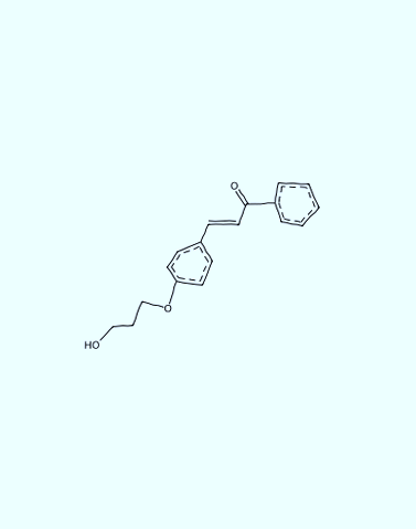 O=C(C=Cc1ccc(OCCCO)cc1)c1ccccc1